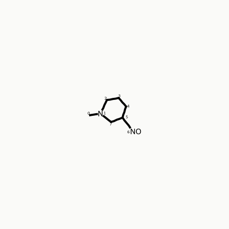 CN1CCCC(N=O)C1